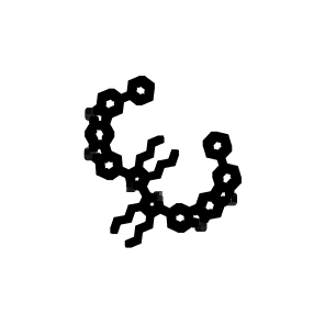 CCCCc1c(-c2ccc3oc4cc5oc6ccc(-c7ccccc7)cc6c5cc4c3c2)sc(-c2sc(-c3ccc4oc5cc6oc7ccc(-c8ccccc8)cc7c6cc5c4c3)c(CCCC)c2CCCC)c1CCCC